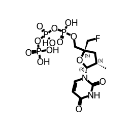 C[C@H]1C[C@@](CF)(COP(=O)(O)OP(=O)(O)OP(=O)(O)O)O[C@H]1n1ccc(=O)[nH]c1=O